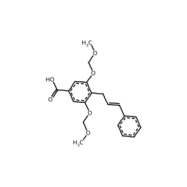 COCOc1cc(C(=O)O)cc(OCOC)c1C/C=C/c1ccccc1